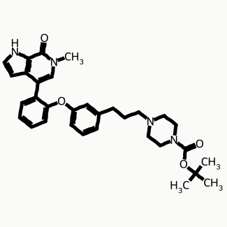 Cn1cc(-c2ccccc2Oc2cccc(CCCN3CCN(C(=O)OC(C)(C)C)CC3)c2)c2cc[nH]c2c1=O